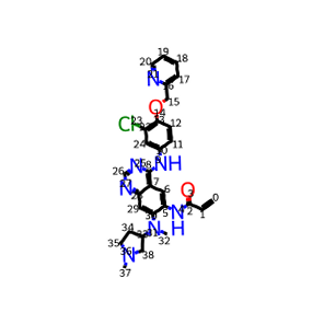 C=CC(=O)Nc1cc2c(Nc3ccc(OCc4ccccn4)c(Cl)c3)ncnc2cc1N(C)C1CCN(C)C1